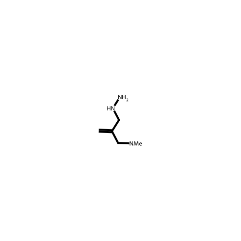 C=C(CNC)CNN